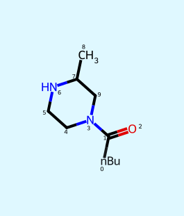 CCCCC(=O)N1CCNC(C)C1